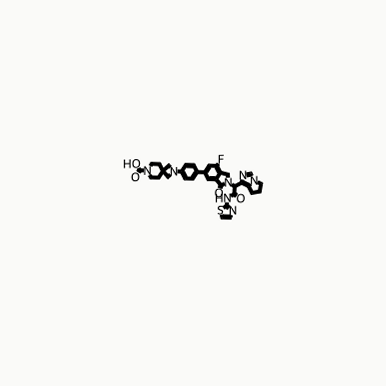 O=C(Nc1nccs1)C(c1ncn2c1CCC2)N1Cc2c(F)cc(-c3ccc(N4CC5(CCN(C(=O)O)CC5)C4)cc3)cc2C1=O